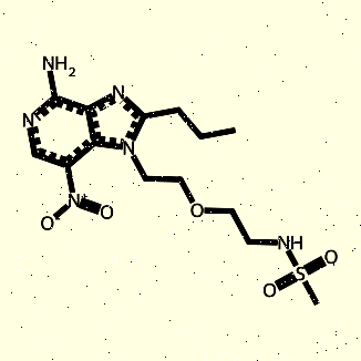 CCCc1nc2c(N)ncc([N+](=O)[O-])c2n1CCOCCNS(C)(=O)=O